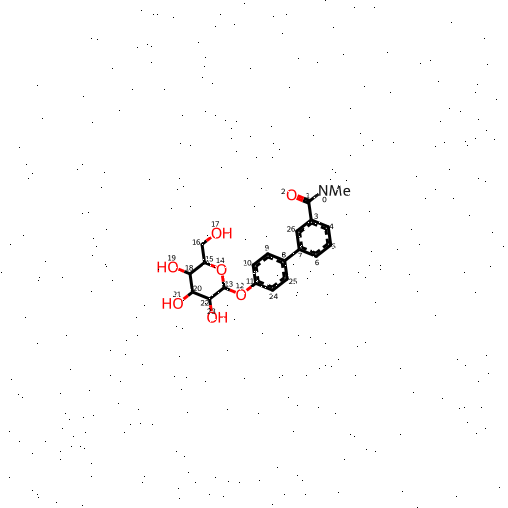 CNC(=O)c1cccc(-c2ccc(OC3OC(CO)C(O)C(O)C3O)cc2)c1